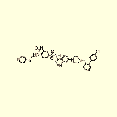 O=[N+]([O-])c1cc(S(=O)(=O)Nc2ncnc3cc(N4CCN(Cc5ccccc5-c5ccc(Cl)cc5)CC4)ccc23)ccc1NCCSc1ccncc1